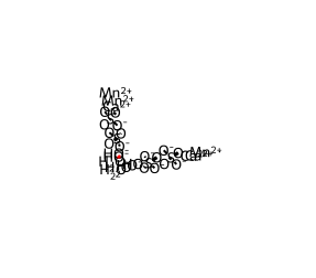 O.O.O.O=S(=O)([O-])[O-].O=S(=O)([O-])[O-].O=S(=O)([O-])[O-].O=S(=O)([O-])[O-].[Ca+2].[Ca+2].[Ca+2].[Mn+2].[Mn+2].[Mn+2].[OH-].[OH-].[OH-].[OH-]